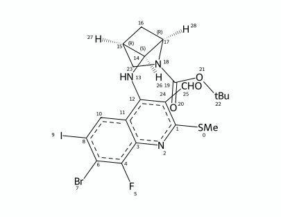 CSc1nc2c(F)c(Br)c(I)cc2c(N[C@H]2[C@@H]3C[C@H]2N(C(=O)OC(C)(C)C)C3)c1C=O